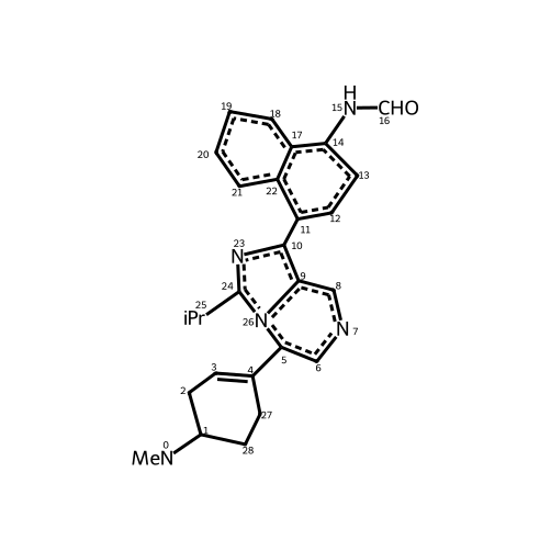 CNC1CC=C(c2cncc3c(-c4ccc(NC=O)c5ccccc45)nc(C(C)C)n23)CC1